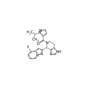 CC(C)n1nccc1C(=O)N1CCc2[nH]cnc2C1c1cc2c(F)cccn2n1